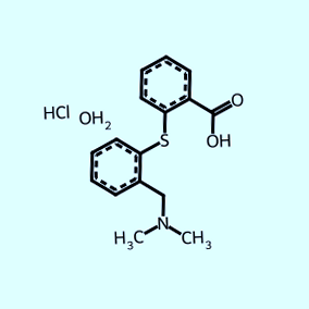 CN(C)Cc1ccccc1Sc1ccccc1C(=O)O.Cl.O